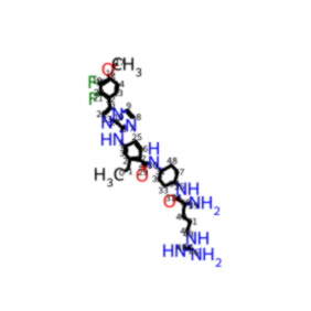 CCc1cc(Nc2nccn3c(-c4ccc(OC)c(F)c4F)cnc23)ccc1C(=O)NC1CCC(NC(=O)C(N)CCCNC(=N)N)CC1